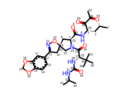 CCC[C@H](NC(=O)[C@@H]1C[C@]2(CC(c3ccc4c(c3)OCO4)=NO2)CN1C(=O)[C@@H](NC(=O)NC(C)C)C(C)(C)C)C(=O)C(C)=O